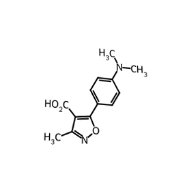 Cc1noc(-c2ccc(N(C)C)cc2)c1C(=O)O